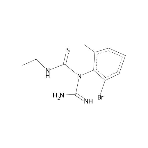 CCNC(=S)N(C(=N)N)c1c(C)cccc1Br